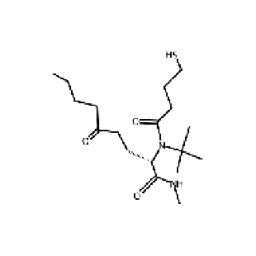 CCCCC(=O)CC[C@@H](C(=O)NC)N(C(=O)CCCS)C(C)(C)C